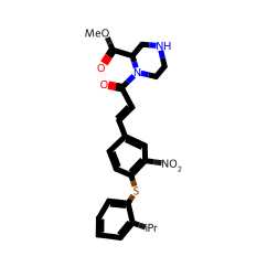 COC(=O)C1CNCCN1C(=O)C=Cc1ccc(Sc2ccccc2C(C)C)c([N+](=O)[O-])c1